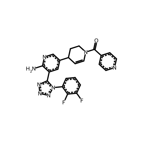 Nc1ncc(C2C=CN(C(=O)c3ccncc3)CC2)cc1-c1nnnn1-c1cccc(F)c1F